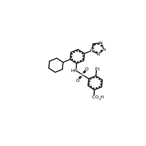 CCc1ccc(C(=O)O)cc1S(=O)(=O)Nc1cc(-n2cnnn2)ccc1C1CCCCC1